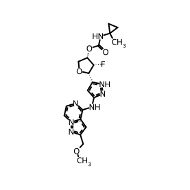 COCc1cc2c(Nc3cc([C@@H]4OC[C@H](OC(=O)NC5(C)CC5)[C@@H]4F)[nH]n3)nccn2n1